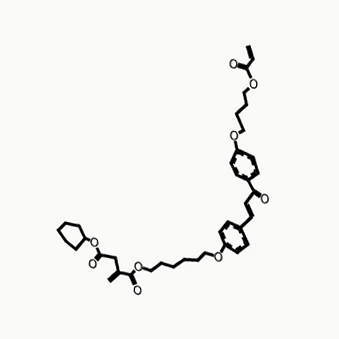 C=CC(=O)OCCCCOc1ccc(C(=O)/C=C/c2ccc(OCCCCCCOC(=O)C(=C)CC(=O)OC3CCCCC3)cc2)cc1